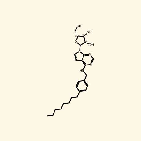 CCCCCCCCc1ccc(CNc2ncnc3c2ncn3C2O[C@H](CO)[C@@H](O)[C@H]2O)cc1